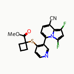 COC(=O)C1(Sc2ccncc2-c2ccc(C#N)c3c(F)cc(F)n23)CCC1